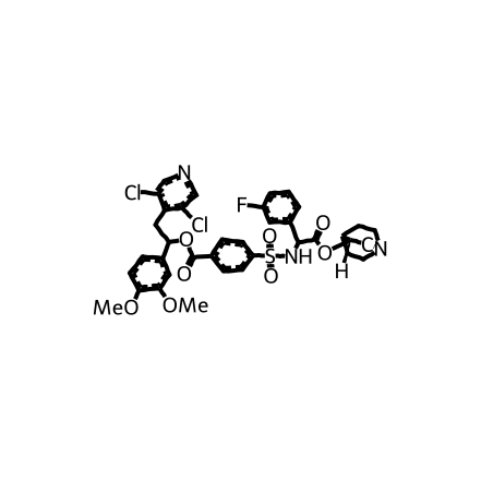 COc1ccc(C(Cc2c(Cl)cncc2Cl)OC(=O)c2ccc(S(=O)(=O)NC(C(=O)O[C@H]3CN4CCC3CC4)c3cccc(F)c3)cc2)cc1OC